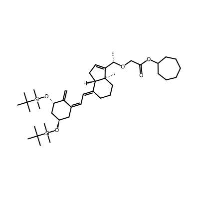 C=C1C(=CC=C2CCC[C@]3(C)C([C@H](C)OCC(=O)OC4CCCCCC4)=CC[C@@H]23)C[C@@H](O[Si](C)(C)C(C)(C)C)C[C@@H]1O[Si](C)(C)C(C)(C)C